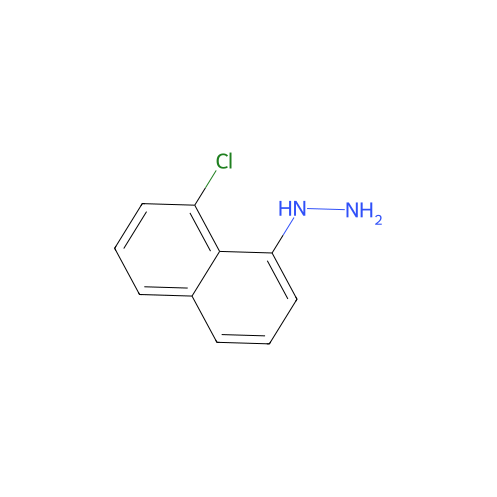 NNc1cccc2cccc(Cl)c12